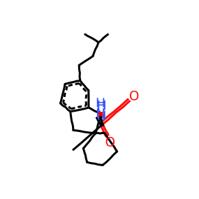 CC(C)CCc1ccc2c(c1)C1(NC(=O)NC1=O)C1(CCCCC1)C2